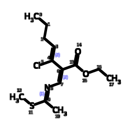 CCC/C=C(Cl)/C(=C\N=C(/C)SC)C(=O)OCC